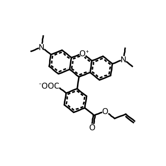 C=CCOC(=O)c1ccc(C(=O)[O-])c(-c2c3ccc(N(C)C)cc3[o+]c3cc(N(C)C)ccc23)c1